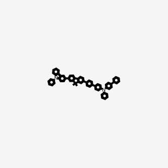 CC1(C)c2cc(-c3ccc(-c4ccc(N(c5ccccc5)c5ccc(-c6ccccc6)cc5)cc4)cc3)ccc2-c2ccc(-c3ccc4c(c3)c3ccccc3n4-c3ccccc3)cc21